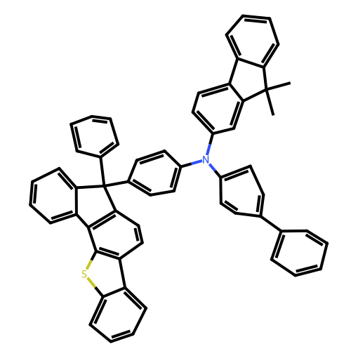 CC1(C)c2ccccc2-c2ccc(N(c3ccc(-c4ccccc4)cc3)c3ccc(C4(c5ccccc5)c5ccccc5-c5c4ccc4c5sc5ccccc54)cc3)cc21